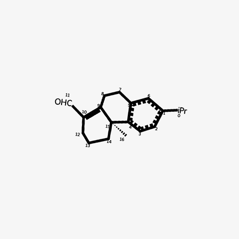 CC(C)c1ccc2c(c1)CCC1=C(C=O)CCC[C@@]12C